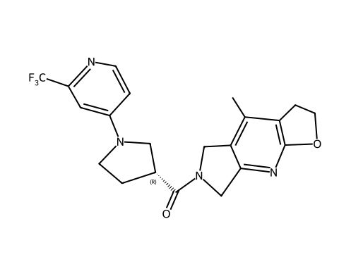 Cc1c2c(nc3c1CCO3)CN(C(=O)[C@@H]1CCN(c3ccnc(C(F)(F)F)c3)C1)C2